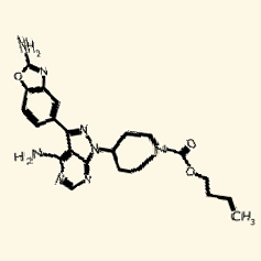 CCCCOC(=O)N1CCC(n2nc(-c3ccc4oc(N)nc4c3)c3c(N)ncnc32)CC1